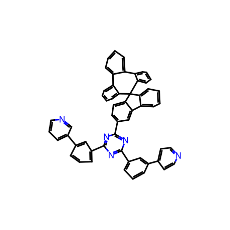 c1cncc(-c2cccc(-c3nc(-c4cccc(-c5ccncc5)c4)nc(-c4ccc5c(c4)-c4ccccc4C54c5ccccc5-c5ccccc5-c5ccccc54)n3)c2)c1